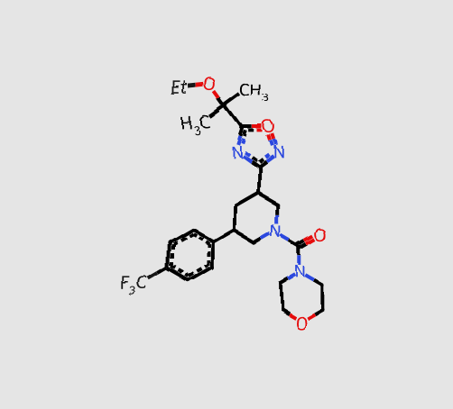 CCOC(C)(C)c1nc(C2CC(c3ccc(C(F)(F)F)cc3)CN(C(=O)N3CCOCC3)C2)no1